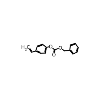 C=Cc1ccc(OC(=O)OCc2ccccc2)cc1